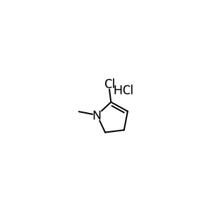 CN1CCC=C1Cl.Cl